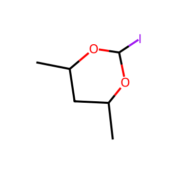 CC1CC(C)OC(I)O1